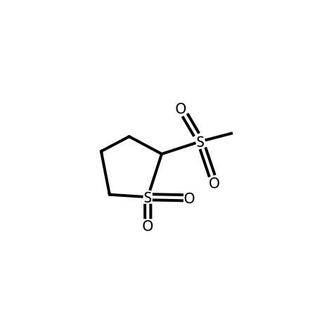 CS(=O)(=O)C1CCCS1(=O)=O